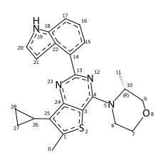 Cc1sc2c(N3CCOC[C@H]3C)nc(-c3cccc4[nH]ccc34)nc2c1C1CC1